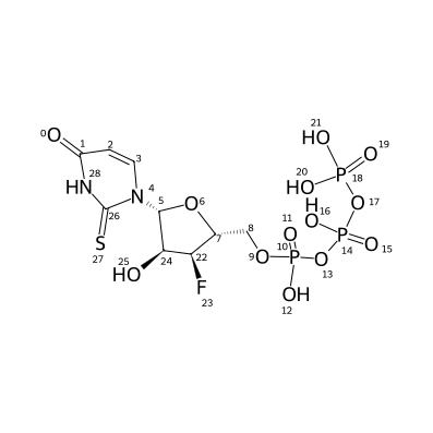 O=c1ccn([C@@H]2O[C@H](COP(=O)(O)OP(=O)(O)OP(=O)(O)O)[C@@H](F)[C@H]2O)c(=S)[nH]1